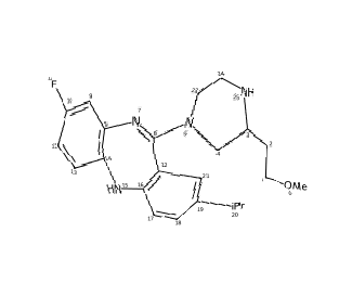 COCCC1CN(C2=Nc3cc(F)ccc3Nc3ccc(C(C)C)cc32)CCN1